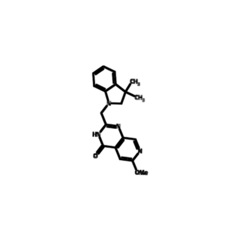 COc1cc2c(=O)[nH]c(CN3CC(C)(C)c4ccccc43)nc2cn1